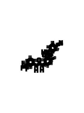 Cc1ccc(NC(=O)Nc2cccc(C(F)(F)F)c2)cc1S(=O)(=O)Nc1ccc(C#N)cc1